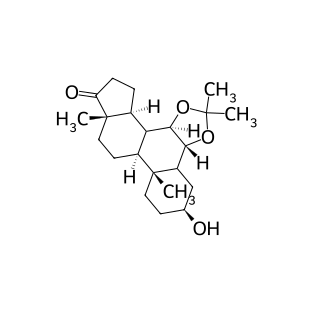 CC1(C)O[C@@H]2C3[C@H](CC[C@]4(C)C(=O)CC[C@@H]34)[C@@]3(C)CC[C@H](O)CC3[C@H]2O1